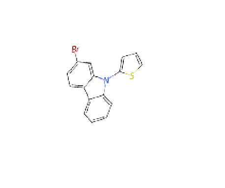 Brc1ccc2c3ccccc3n(-c3cccs3)c2c1